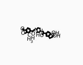 Cc1c([C@@H](O)CN2CCN(CC(O)c3ccc4c(c3)CCS4(O)O)CC2)ccc2c1COC2=O